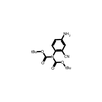 CC(C)(C)OC(=O)N(C(=O)OC(C)(C)C)c1ccc(N)cc1C#N